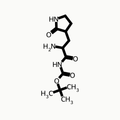 CC(C)(C)OC(=O)NC(=O)C(N)CC1CCNC1=O